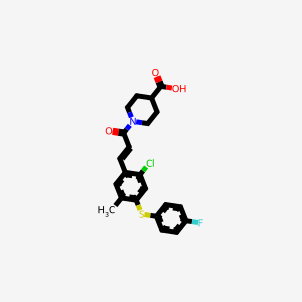 Cc1cc(C=CC(=O)N2CCC(C(=O)O)CC2)c(Cl)cc1Sc1ccc(F)cc1